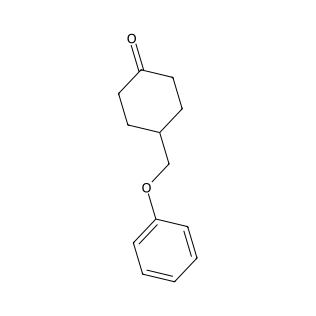 O=C1CCC(COc2ccccc2)CC1